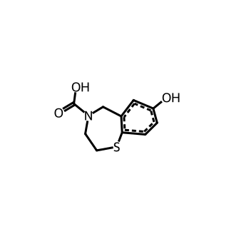 O=C(O)N1CCSc2ccc(O)cc2C1